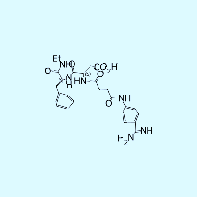 CCNC(=O)[C@H](Cc1ccccc1)NC(=O)[C@H](CC(=O)O)NC(=O)CCC(=O)Nc1ccc(C(=N)N)cc1